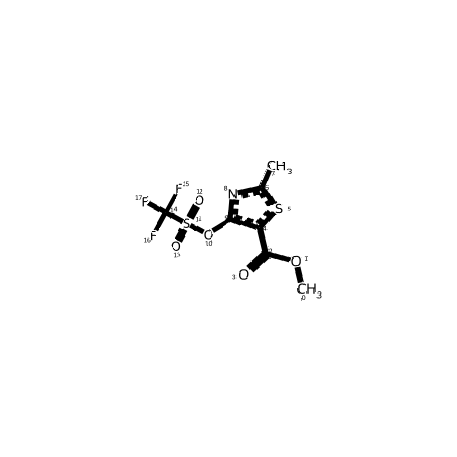 COC(=O)c1sc(C)nc1OS(=O)(=O)C(F)(F)F